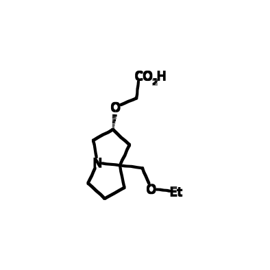 CCOCC12CCCN1C[C@H](OCC(=O)O)C2